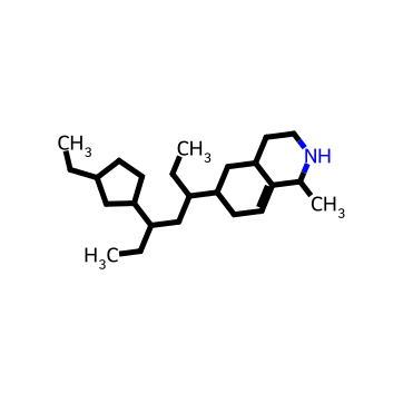 CCC1CCC(C(CC)CC(CC)C2CC=C3C(CCNC3C)C2)C1